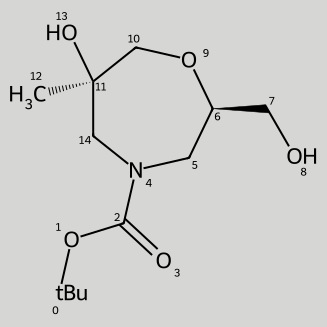 CC(C)(C)OC(=O)N1C[C@H](CO)OC[C@](C)(O)C1